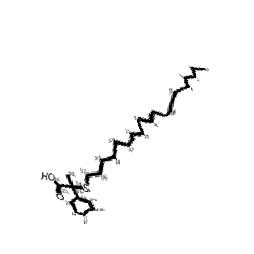 CCCCCCCCCCCCCCCCCCSC(C)(C(=O)O)c1ccccc1